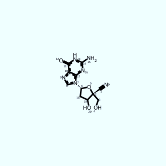 N#C[C@]1(CO)O[C@@H](n2cnc3c(=O)[nH]c(N)nc32)CC1O